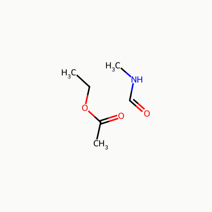 CCOC(C)=O.CNC=O